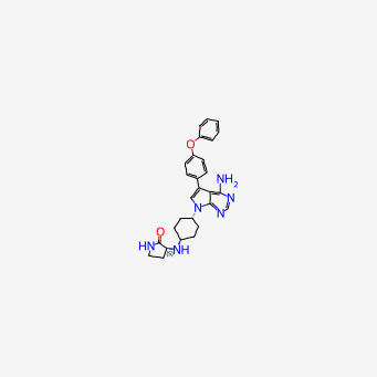 Nc1ncnc2c1c(-c1ccc(Oc3ccccc3)cc1)cn2[C@H]1CC[C@H](N[C@H]2CCNC2=O)CC1